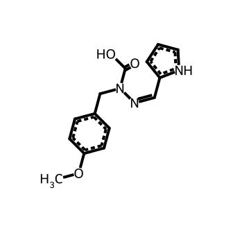 COc1ccc(CN(/N=C\c2ccc[nH]2)C(=O)O)cc1